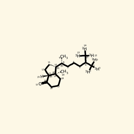 [2H]C([2H])([2H])C(CCC[C@@H](C)[C@H]1CC[C@H]2C(=O)CCC[C@]12C)C([2H])([2H])[2H]